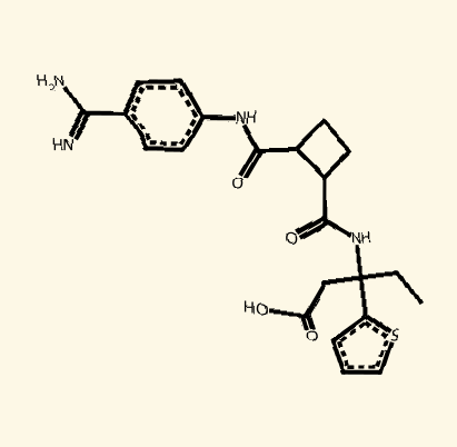 CCC(CC(=O)O)(NC(=O)C1CCC1C(=O)Nc1ccc(C(=N)N)cc1)c1cccs1